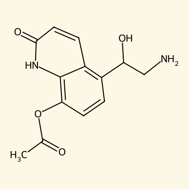 CC(=O)Oc1ccc(C(O)CN)c2ccc(=O)[nH]c12